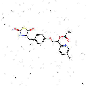 CCCCC(=O)OC(COc1ccc(CC2NC(=O)SC2=O)cc1)c1ccc(CC)cn1